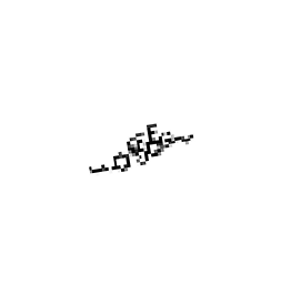 CCCCOc1ccc(OC(=O)[C@H]2CC[C@H](CCCC)CC2)c(F)c1F